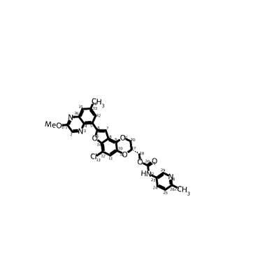 COc1cnc2c(-c3cc4c5c(cc(Cl)c4o3)O[C@@H](COC(=O)Nc3ccc(C)nc3)CO5)cc(C)cc2n1